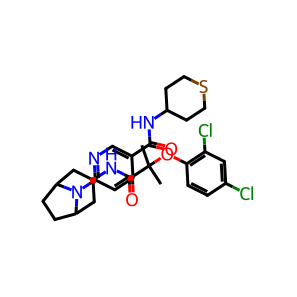 CC(C)(Oc1ccc(Cl)cc1Cl)C(=O)NC1CC2CCC(C1)N2c1ccc(C(=O)NC2CCSCC2)cn1